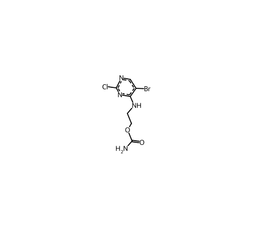 NC(=O)OCCNc1nc(Cl)ncc1Br